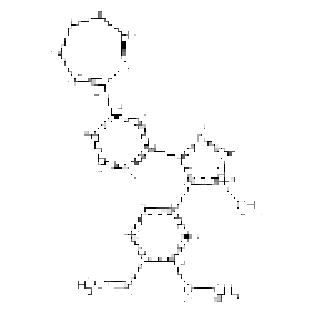 C=Cc1ccc(-c2c(-c3cc(C4=CCCCN=N4)ccn3)ncn2C)cc1OC